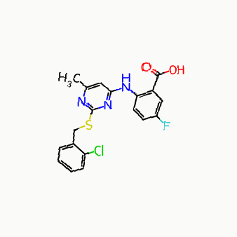 Cc1cc(Nc2ccc(F)cc2C(=O)O)nc(SCc2ccccc2Cl)n1